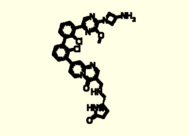 COc1nc(-c2cccc(-c3cccc(-c4ccn5c(=O)c(CNC[C@@H]6CCC(=O)N6)cnc5c4)c3Cl)c2Cl)cnc1N1CC(N)C1